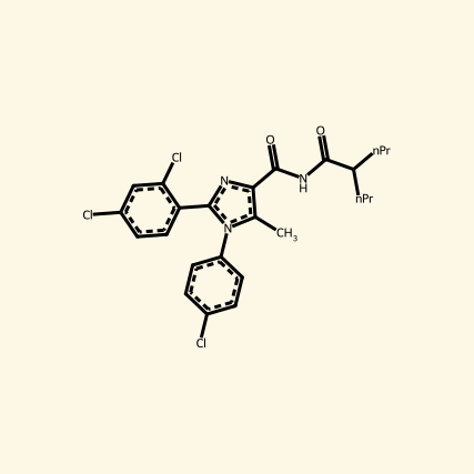 CCCC(CCC)C(=O)NC(=O)c1nc(-c2ccc(Cl)cc2Cl)n(-c2ccc(Cl)cc2)c1C